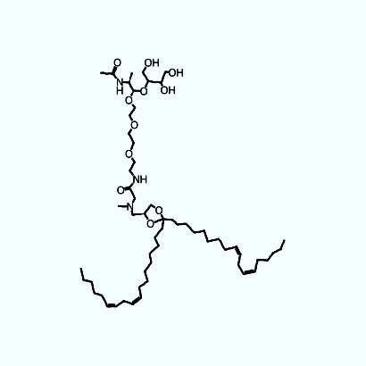 CCCCC/C=C\C/C=C\CCCCCCCCC1(CCCCCCCC/C=C\C/C=C\CCCCC)OC[C@H](CN(C)CC(=O)NCCOCCOCCO[C@H](OC(CO)[C@H](O)CO)[C@H](C)NC(C)=O)O1